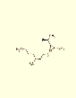 CCCCC(C)CCSN1C(C)C1C(C)F